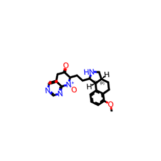 COc1cccc2c1CC[C@H]1CNC(CCC3C(=O)CC45CC=CC=C4N=CN=C5[N+]3=O)[C@@H]21